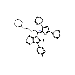 Cc1ccc(-c2[nH]c(/C(CCCCC3CCCCC3)=C3\N=C(c4ccccc4)C=C3c3ccccc3)c3ccccc23)cc1